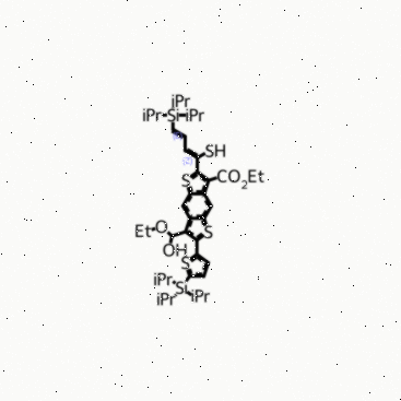 CCOC(=O)c1c(/C(S)=C/C=C/[Si](C(C)C)(C(C)C)C(C)C)sc2cc3c(C(O)OCC)c(-c4ccc([Si](C(C)C)(C(C)C)C(C)C)s4)sc3cc12